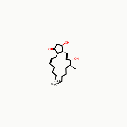 COCCCC[C@H](C)[C@@H](O)/C=C/[C@H]1[C@H](O)CC(=O)[C@@H]1C/C=C\CCCC(=O)O